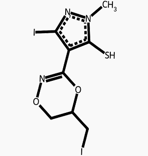 Cn1nc(I)c(C2=NOCC(CI)O2)c1S